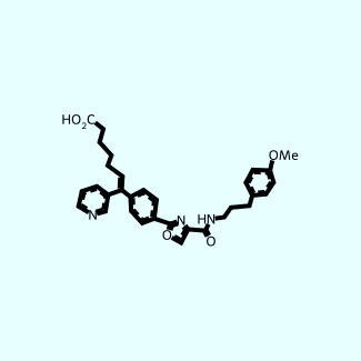 COc1ccc(CCCNC(=O)c2coc(-c3ccc(C(=CCCCCC(=O)O)c4cccnc4)cc3)n2)cc1